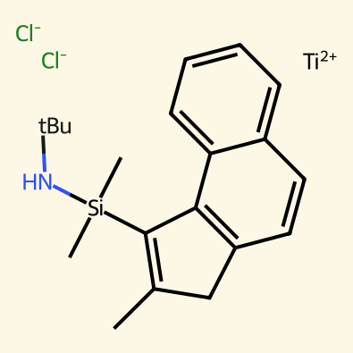 CC1=C([Si](C)(C)NC(C)(C)C)c2c(ccc3ccccc23)C1.[Cl-].[Cl-].[Ti+2]